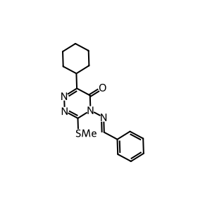 CSc1nnc(C2CCCCC2)c(=O)n1N=Cc1ccccc1